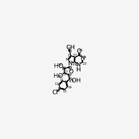 C#Cc1cn([C@@H]2O[C@H]([C@H](O)c3ccc(Cl)cc3)[C@@H](O)[C@H]2O)c2[nH]cnc(=O)c12